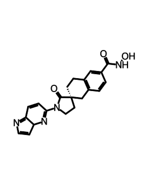 O=C(NO)c1ccc2c(c1)CC[C@@]1(CCN(C3=NC4C=CN=C4C=C3)C1=O)C2